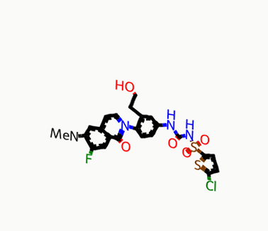 CNc1cc2ccn(-c3ccc(NC(=O)NS(=O)(=O)c4ccc(Cl)s4)cc3CCO)c(=O)c2cc1F